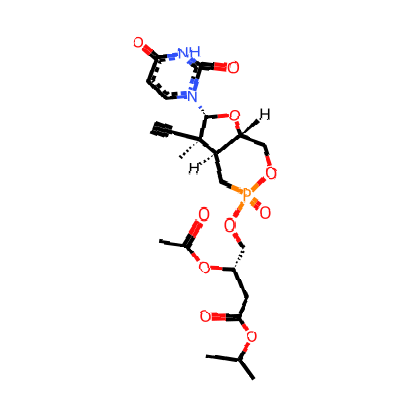 C#C[C@]1(C)[C@@H]2CP(=O)(OC[C@H](CC(=O)OC(C)C)OC(C)=O)OC[C@H]2O[C@H]1n1ccc(=O)[nH]c1=O